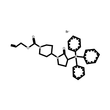 C=CCOC(=O)N1CCC(N2CCC([P+](c3ccccc3)(c3ccccc3)c3ccccc3)C2=O)CC1.[Br-]